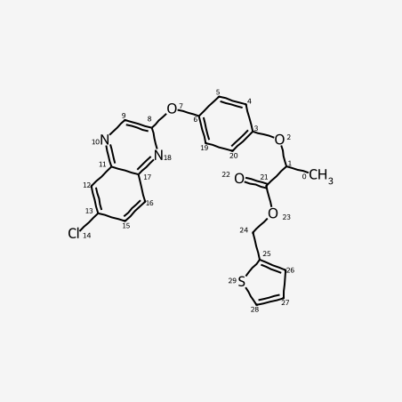 CC(Oc1ccc(Oc2cnc3cc(Cl)ccc3n2)cc1)C(=O)OCc1cccs1